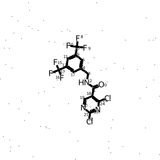 O=C(NCc1cc(C(F)(F)F)cc(C(F)(F)F)c1)c1cnc(Cl)nc1Cl